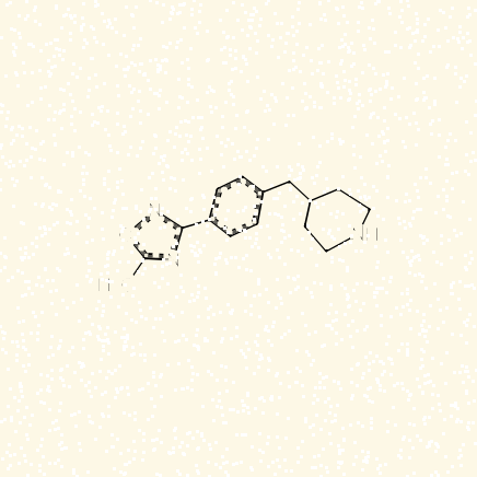 Cc1nc(-c2ccc(CC3CCNCC3)cc2)no1